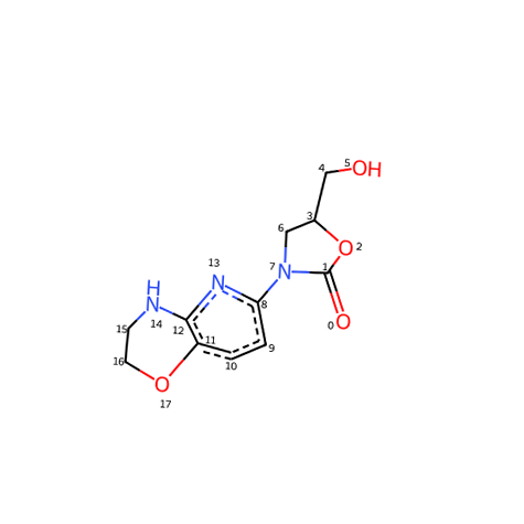 O=C1OC(CO)CN1c1ccc2c(n1)NCCO2